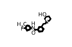 Cc1cc(NC(=O)c2cccc(CCN3CCCC(O)C3)c2)ccc1F